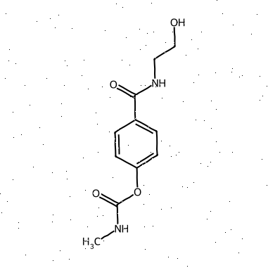 CNC(=O)Oc1ccc(C(=O)NCCO)cc1